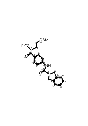 CCCN(CCOC)C(=O)c1ccc(NC(=O)N2Cc3ccccc3C2)cc1